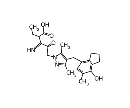 CCC(C(=N)C(=O)Cn1nc(C)c(Cc2cc(C)c(O)c3c2CCC3)c1C)C(=O)O